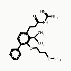 COCCCOc1c(-c2ccccc2)ccc(CCC(=O)NC(=N)N)c1C(C)C